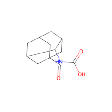 O=CC12CC3CC(C1)C(NC(=O)O)C(C3)C2